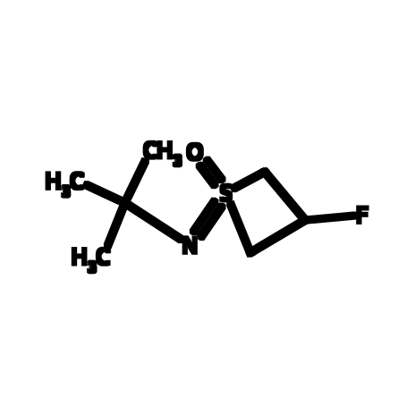 CC(C)(C)N=S1(=O)CC(F)C1